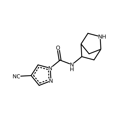 N#Cc1cnn(C(=O)NC2CC3CC2CN3)c1